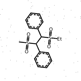 CCS(=O)(=O)C(c1ccccc1)C(c1ccccc1)S(C)(=O)=O